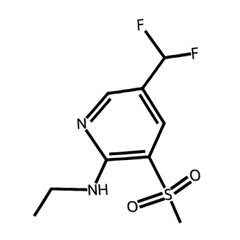 CCNc1ncc(C(F)F)cc1S(C)(=O)=O